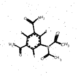 CC(=O)N(C(C)=O)c1c(I)c(C(N)=O)c(I)c(C(N)=O)c1I